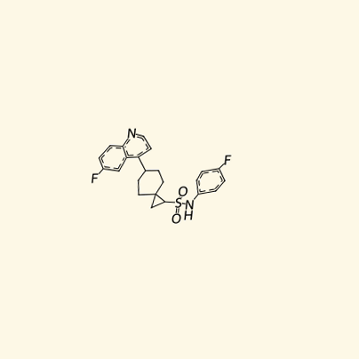 O=S(=O)(Nc1ccc(F)cc1)C1CC12CCC(c1ccnc3ccc(F)cc13)CC2